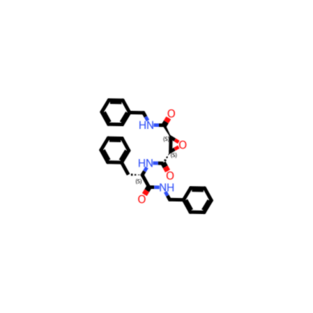 O=C(NCc1ccccc1)[C@H](Cc1ccccc1)NC(=O)[C@H]1O[C@@H]1C(=O)NCc1ccccc1